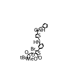 COC(=O)c1sc(-c2cccc(NCc3ccc(C(=O)NCc4ccccc4)s3)c2)c(Br)c1OCC(=O)OC(C)(C)C